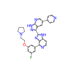 Fc1cc(OCCN2CCCC2)cc(-c2nccc3[nH]c(-c4n[nH]c5ncc(-c6ccncc6)cc45)nc23)c1